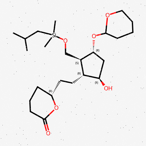 CC(C)C[Si](C)(C)OC[C@@H]1[C@@H](CC[C@H]2CCCC(=O)O2)[C@H](O)C[C@H]1OC1CCCCO1